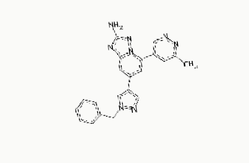 Cc1cc(-c2cc(-c3cnn(Cc4ccccc4)c3)cc3nc(N)nn23)cnn1